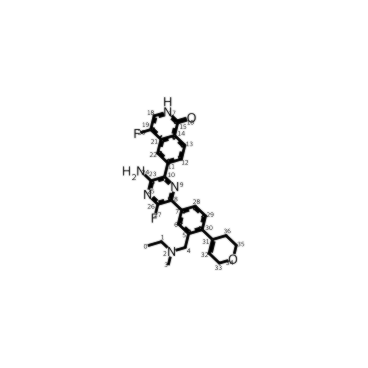 CCN(C)Cc1cc(-c2nc(-c3ccc4c(=O)[nH]cc(F)c4c3)c(N)nc2F)ccc1C1=CCOCC1